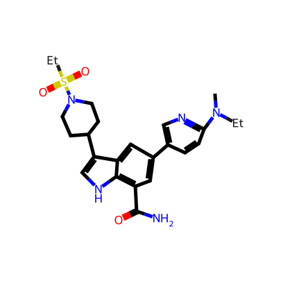 CCN(C)c1ccc(-c2cc(C(N)=O)c3[nH]cc(C4CCN(S(=O)(=O)CC)CC4)c3c2)cn1